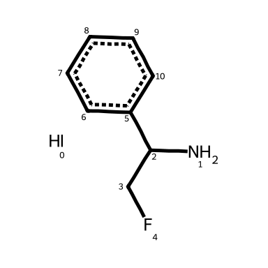 I.NC(CF)c1ccccc1